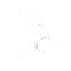 Cc1ccc(CNCC(NC(=O)CNC(=O)c2cc(C(F)(F)F)ccc2NC(C)C)C(=O)NC(C)(C)C)c(C)c1